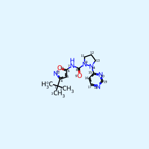 CC(C)(C)c1cc(NC(=O)N2CCCN2c2ccncn2)on1